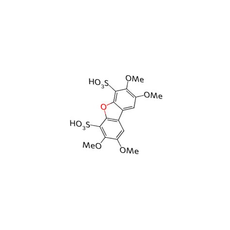 COc1cc2c(oc3c(S(=O)(=O)O)c(OC)c(OC)cc32)c(S(=O)(=O)O)c1OC